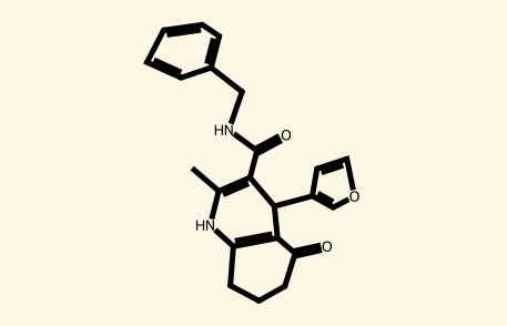 CC1=C(C(=O)NCc2ccccc2)C(c2ccoc2)C2=C(CCCC2=O)N1